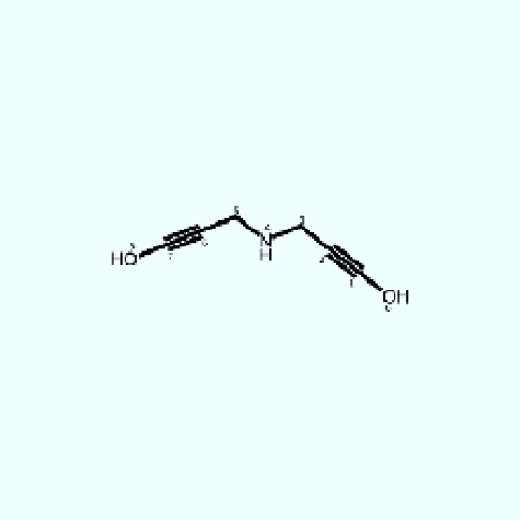 OC#CCNCC#CO